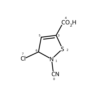 N#CN1SC(C(=O)O)=CC1Cl